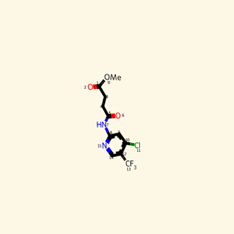 COC(=O)CCC(=O)Nc1cc(Cl)c(C(F)(F)F)cn1